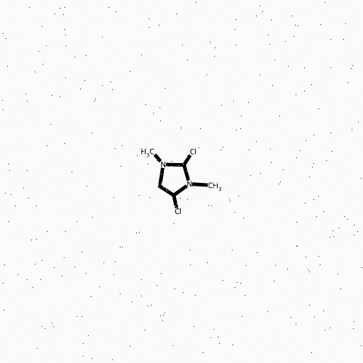 CN1CC(Cl)N(C)C1Cl